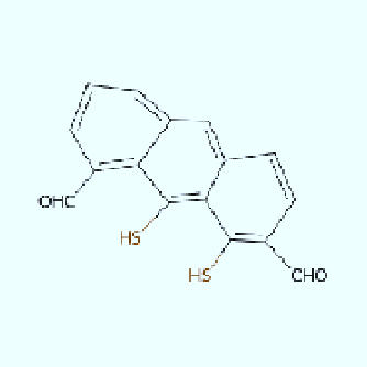 O=Cc1ccc2cc3cccc(C=O)c3c(S)c2c1S